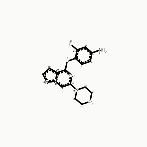 Nc1ccc(Oc2nc(N3CCOCC3)cn3nccc23)c(F)c1